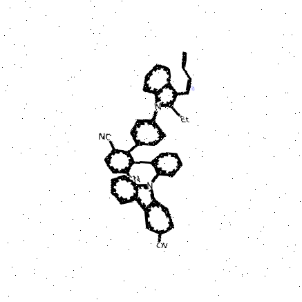 C=C/C=C\c1c(CC)n(-c2ccc(-c3c(C#N)ccc(C#N)c3-c3ccccc3-n3c4ccccc4c4cc(C#N)ccc43)cc2)c2ccccc12